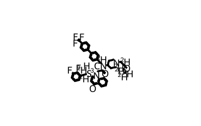 [2H]C([2H])([2H])OC([2H])([2H])CN1CCC(N(C(=O)Cn2c(SC([2H])([2H])c3cccc(F)c3F)cc(=O)c3ccccc32)C([2H])(C)c2ccc(-c3ccc(C(F)(F)F)cc3)cc2)CC1